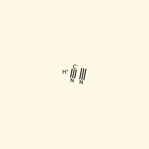 C#N.[C-]#N.[H+]